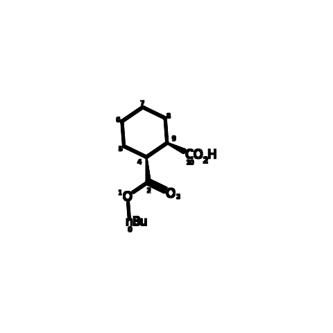 CCCCOC(=O)[C@H]1CCCC[C@H]1C(=O)O